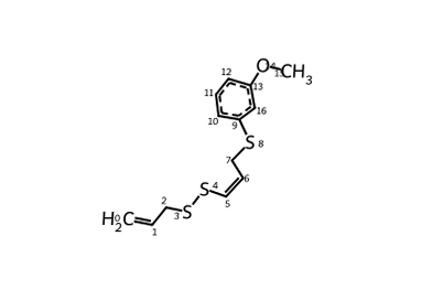 C=CCSS/C=C\CSc1cccc(OC)c1